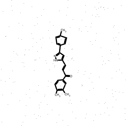 Cc1ccc(-c2cc(/C=C/C(=O)c3ccc(C)c(C)c3)[nH]n2)cc1